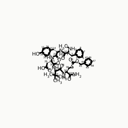 CN[C@@H](Cc1ccccc1)C(=O)N[C@@H](Cc1ccc(O)cc1)C(=O)N[C@@H](CC(=O)O)C(=O)N[C@H](C(=O)N[C@@H](CSC(=O)OCc1ccccc1)C(N)=O)C(C)(C)C